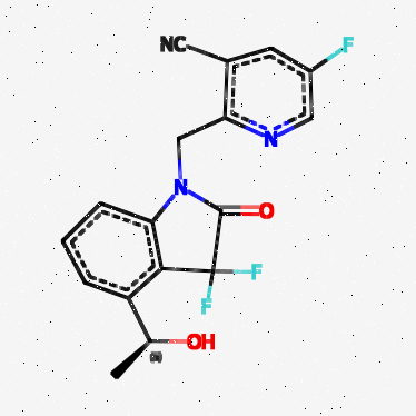 C[C@H](O)c1cccc2c1C(F)(F)C(=O)N2Cc1ncc(F)cc1C#N